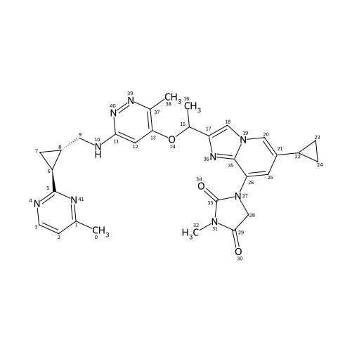 Cc1ccnc([C@H]2C[C@@H]2CNc2cc(OC(C)c3cn4cc(C5CC5)cc(N5CC(=O)N(C)C5=O)c4n3)c(C)nn2)n1